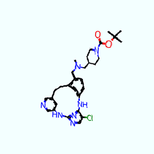 CN(Cc1ccc2cc1CCc1cncc(c1)Nc1ncc(Cl)c(n1)N2)CC1CCN(C(=O)OC(C)(C)C)CC1